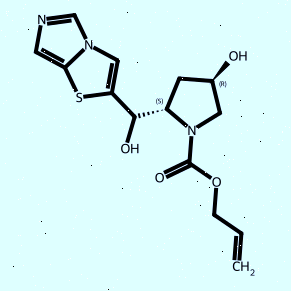 C=CCOC(=O)N1C[C@H](O)C[C@H]1C(O)c1cn2cncc2s1